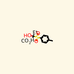 CC[C@](O)(C(=O)O)S(=O)(=O)c1ccc(C)cc1